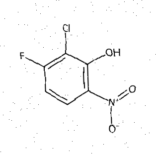 O=[N+]([O-])c1ccc(F)c(Cl)c1O